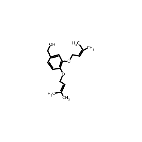 CC(C)=CCOc1ccc(CO)cc1OCC=C(C)C